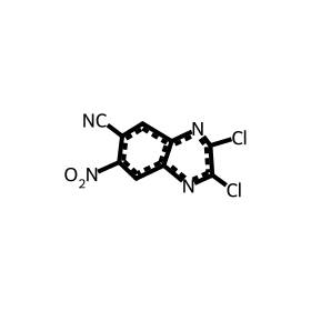 N#Cc1cc2nc(Cl)c(Cl)nc2cc1[N+](=O)[O-]